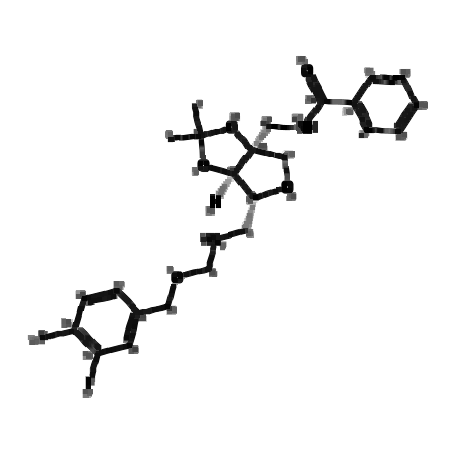 CC1(C)O[C@@H]2[C@@H](CNCOCc3ccc(F)c(F)c3)OC[C@]2(CNC(=O)c2ccccc2)O1